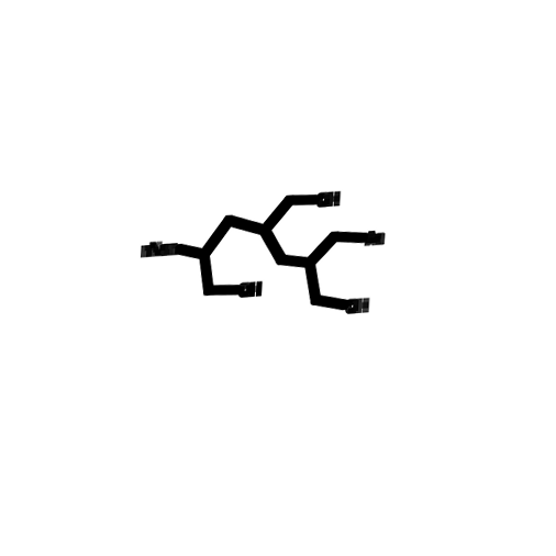 CCCCCCCCCC(CO)CC(CO)CC(CO)CC(C)=O